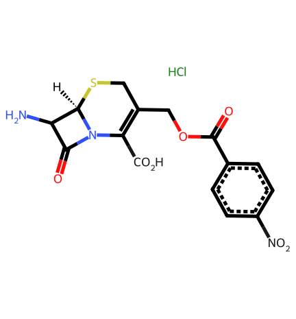 Cl.NC1C(=O)N2C(C(=O)O)=C(COC(=O)c3ccc([N+](=O)[O-])cc3)CS[C@H]12